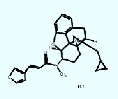 CN(C(=O)/C=C/c1ccoc1)[C@@H]1CCC2(O)[C@H]3Cc4cccc5c4[C@@]2(CCN3CC2CC2)[C@H]1O5.Cl